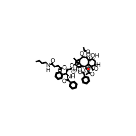 CCCCNC(=O)CCC(=O)O[C@@H](C(=O)OC1C[C@@]2(O)[C@@H](OC(=O)c3ccccc3)[C@@H]3[C@]4(OC(C)=O)CO[C@@H]4C[C@H](O)[C@@]3(C)C(=O)[C@H](OC(C)=O)C(=C1C)C2(C)C)C(NC(=O)c1ccccc1)c1ccccc1